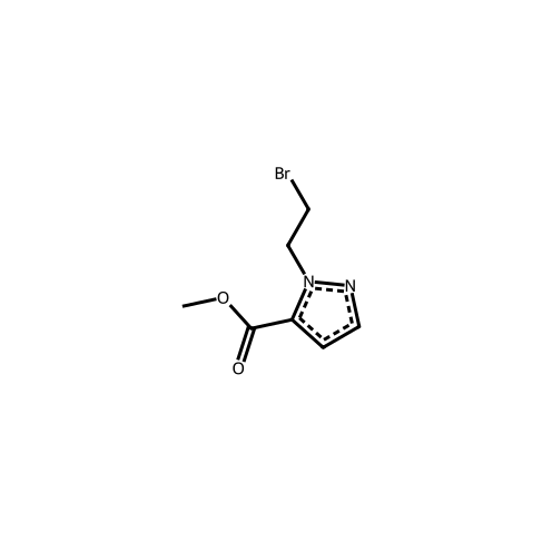 COC(=O)c1ccnn1CCBr